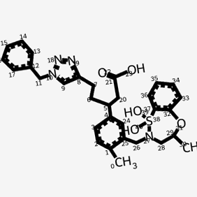 Cc1ccc(C(CCc2cn(Cc3ccccc3)nn2)CC(=O)O)cc1CN1CC(C)Oc2ccccc2S1(O)O